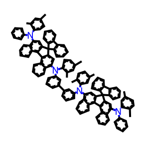 Cc1ccc(N(c2ccccc2)c2cc3c(c4ccccc24)-c2c(cc(N(c4cccc(-c5cccc(N(c6cc(C)ccc6C)c6cc7c(c8ccccc68)-c6c(cc(N(c8ccccc8)c8cc(C)ccc8C)c8ccccc68)C76c7ccccc7-c7ccccc76)c5)c4)c4ccc(C)cc4C)c4ccccc24)C32c3ccccc3-c3ccccc32)c(C)c1